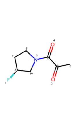 CC(=O)C(=O)N1CC[C@H](F)C1